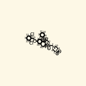 O=C(CN1CCS(=O)(=O)CC1)N1CC[C@@]2(S(=O)(=O)c3ccccc3)c3ccc(OCc4c(Cl)cccc4Cl)cc3CC[C@@H]12